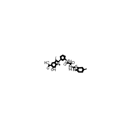 Cc1ccc2nc(NC(=O)C(=O)Nc3cccc(-c4c(I)c5cc(C(=O)O)c(O)cc5n4C)c3)sc2c1